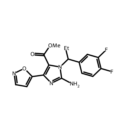 CCC(c1ccc(F)c(F)c1)n1c(N)nc(-c2ccno2)c1C(=O)OC